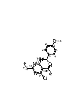 COc1ccc(CNc2nc(SC)nc(Cl)c2C(C)=O)cc1